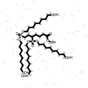 CCCCCCCCCCCCCCCCCCOP(=O)(CCC(CCCC(=O)OC(C)(C)C)P(=O)(OCCCCCCCCCCCCCCCCCC)OCCCCCCCCCCCCCCCCCC)OCCCCCCCCCCCCCCCCCC